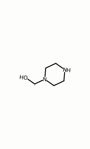 O[CH]N1CCNCC1